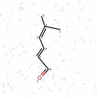 CC(C)=C/C=C/C=O